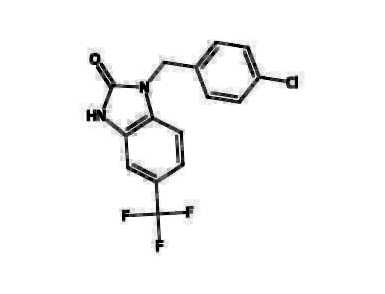 O=c1[nH]c2cc(C(F)(F)F)ccc2n1Cc1ccc(Cl)cc1